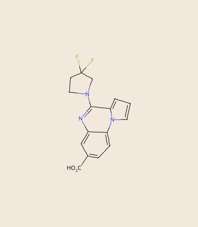 O=C(O)c1ccc2c(c1)nc(N1CCC(F)(F)C1)c1cccn12